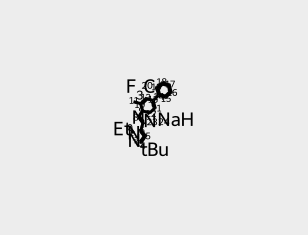 CCn1nc(C(C)(C)C)cc1C1=NC2C(C)=CC(c3ccccc3C(F)(F)F)=CC2=N1.[NaH]